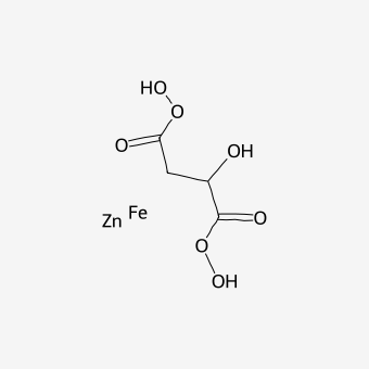 O=C(CC(O)C(=O)OO)OO.[Fe].[Zn]